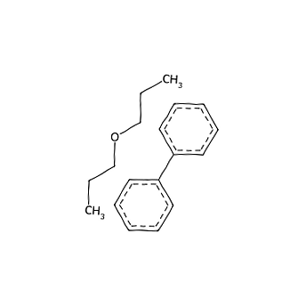 CCCOCCC.c1ccc(-c2ccccc2)cc1